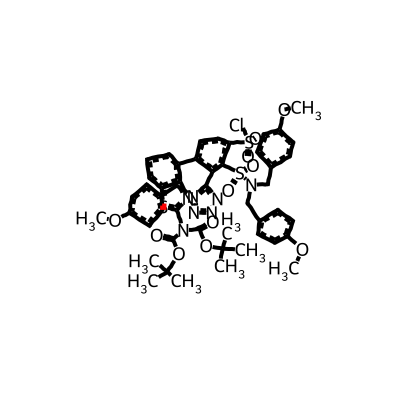 COc1ccc(CN(Cc2ccc(OC)cc2)S(=O)(=O)c2c(S(=O)(=O)Cl)ccc(-c3cccc4sc(N(C(=O)OC(C)(C)C)C(=O)OC(C)(C)C)nc34)c2-c2nnnn2Cc2ccc(OC)cc2)cc1